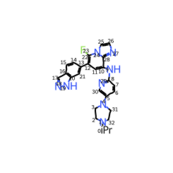 CC(C)N1CCN(c2ccc(Nc3cc(-c4ccc5cn[nH]c5c4)c(F)n4ccnc34)nc2)CC1